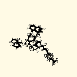 CN(c1nc(OCC23CCCN2CCC3)nc2c1CCN(c1cccc3cccc(Cl)c13)C2)C1CCN(C(=O)/C=C/c2nc(C(F)F)no2)C1